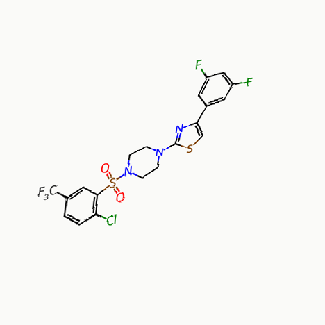 O=S(=O)(c1cc(C(F)(F)F)ccc1Cl)N1CCN(c2nc(-c3cc(F)cc(F)c3)cs2)CC1